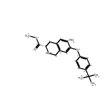 COC(=O)[C@@H]1Cc2ccc(Oc3ccc(C(C)(C)C)cc3)cc2CN1.Cl